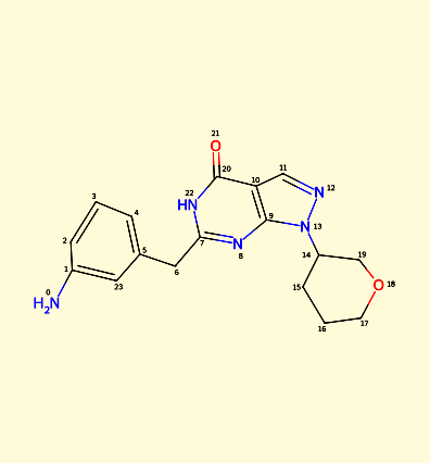 Nc1cccc(Cc2nc3c(cnn3C3CCCOC3)c(=O)[nH]2)c1